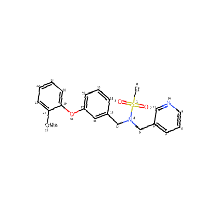 CCS(=O)(=O)N(Cc1cccnc1)Cc1cccc(Oc2ccccc2OC)c1